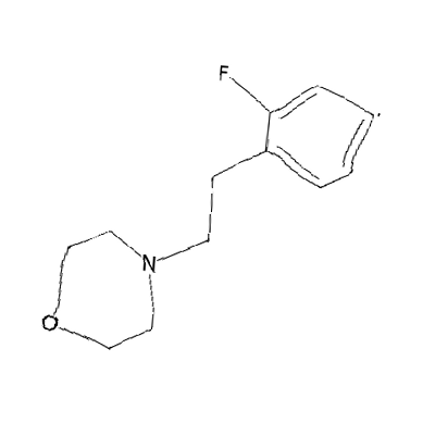 Fc1c[c]ccc1CCN1CCOCC1